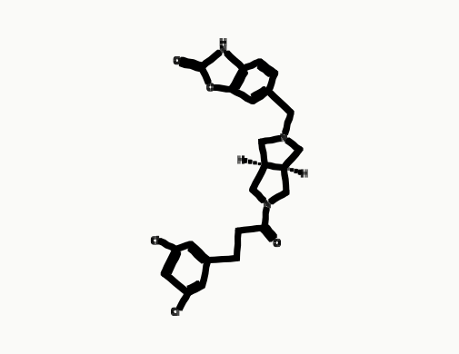 O=C(CCc1cc(Cl)cc(Cl)c1)N1C[C@H]2CN(Cc3ccc4[nH]c(=O)oc4c3)C[C@H]2C1